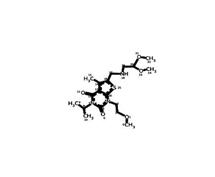 COCCn1c(=O)n(C(C)C)c(=O)c2c(C)c(CNCC(OC)OC)sc21